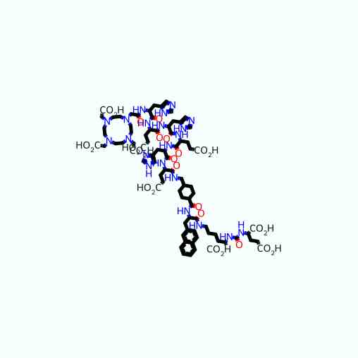 O=C(O)CCC(NC(=O)NC(CCCCNC(=O)C(Cc1ccc2ccccc2c1)NC(=O)C1CCC(CNC(=O)C(CCC(=O)O)NC(=O)C(Cc2c[nH]cn2)NC(=O)C(CCC(=O)O)NC(=O)C(Cc2cnc[nH]2)NC(=O)C(CCC(=O)O)NC(=O)C(Cc2cnc[nH]2)NC(=O)CN2CCN(CC(=O)O)CCN(CC(=O)O)CCN(CC(=O)O)CC2)CC1)C(=O)O)C(=O)O